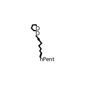 CCCCCC=CCCCCC#CCOC1CCCCO1